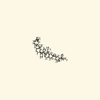 CCN1CCN(Cc2ccc(NC(=O)N3CCc4ccc(Oc5ccnc(C(N)=O)c5)cc4[C@@H]3C)cc2C(F)(F)F)CC1